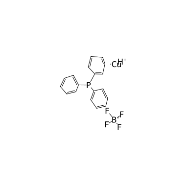 F[B-](F)(F)F.[Cu].[H+].c1ccc(P(c2ccccc2)c2ccccc2)cc1